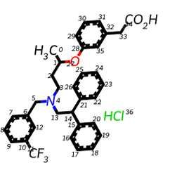 CC(CCN(Cc1cccc(C(F)(F)F)c1)CC(c1ccccc1)c1ccccc1)Oc1cccc(CC(=O)O)c1.Cl